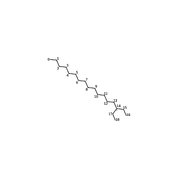 CCCCCCCCCCCCCC[C](CC)CC